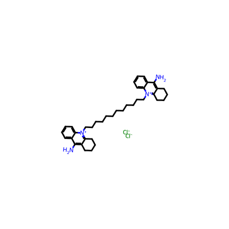 Nc1c2c([n+](CCCCCCCCCCCC[n+]3c4c(c(N)c5ccccc53)CCCC4)c3ccccc13)CCCC2.[Cl-].[Cl-]